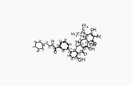 CC(=O)C1=C(O)[C@H](N(C)C)[C@@H]2C[C@@H]3Cc4c(-c5cccc(C(=O)NCCN6CCCCC6)c5)ccc(O)c4C(=O)C3=C(O)[C@]2(O)C1=O